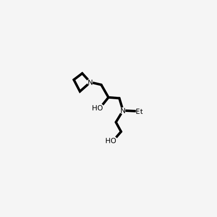 CCN(CCO)CC(O)CN1CCC1